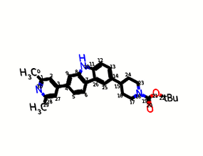 Cc1cc(-c2ccc3c(c2)[nH]c2ccc(C4CCN(C(=O)OC(C)(C)C)CC4)cc23)cc(C)n1